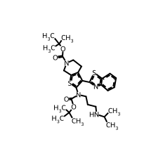 CC(C)NCCCN(C(=O)OC(C)(C)C)c1sc2c(c1-c1nc3ccccc3s1)CCN(C(=O)OC(C)(C)C)C2